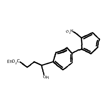 CCOC(=O)CCC(O)c1ccc(-c2ccccc2[N+](=O)[O-])cc1